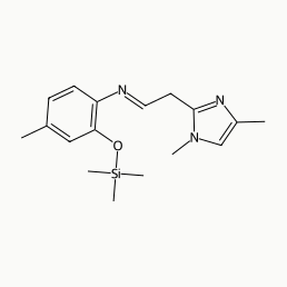 Cc1ccc(N=CCc2nc(C)cn2C)c(O[Si](C)(C)C)c1